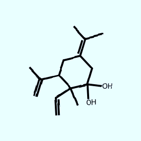 C=CC1(C)C(C(=C)C)CC(=C(C)C)CC1(O)O